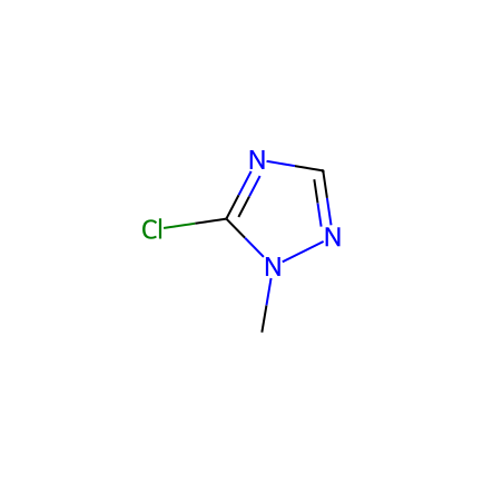 Cn1ncnc1Cl